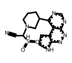 N#CC(N1CCCC(c2ncnc3nnc4[nH]ccc4c23)C1)[SH](=O)=O